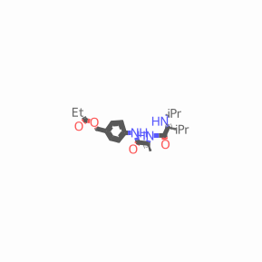 CCC(=O)OCc1ccc(NC(=O)[C@H](C)NC(=O)[C@@H](NC(C)C)C(C)C)cc1